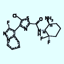 N[C@H]1CCCC(F)(F)[C@@H]1NC(=O)c1nc(-c2c(F)nn3ccccc23)c(Cl)s1